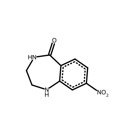 O=C1NCCNc2cc([N+](=O)[O-])ccc21